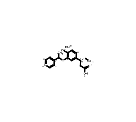 CC(Oc1cc([C@H](CN)CC(=O)O)ccc1Cl)c1ccncc1.Cl